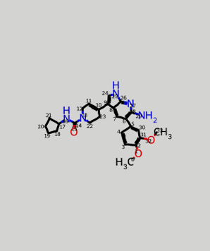 COc1ccc(-c2cc3c(C4=CCN(C(=O)NC5CCCC5)CC4)c[nH]c3nc2N)cc1OC